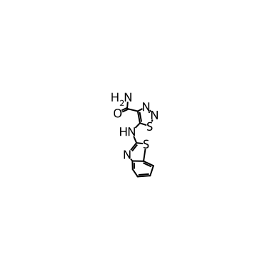 NC(=O)c1nnsc1Nc1nc2ccccc2s1